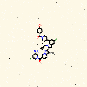 Cc1c(-c2cc3cc(F)cc(C4CCN(C(=O)[C@H]5CC[C@@H](O)CC5)CC4)c3n2CC2CC2)nn2cc(C(=O)N3C[C@H](N)C[C@@H](F)C3)ccc12